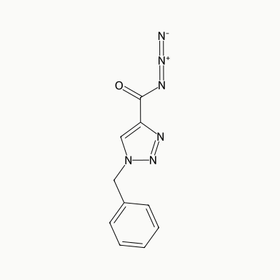 [N-]=[N+]=NC(=O)c1cn(Cc2ccccc2)nn1